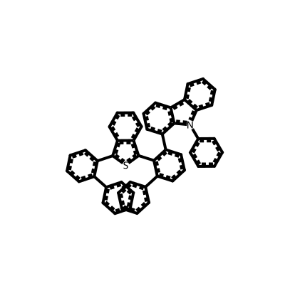 c1ccc(-c2ccccc2-c2sc(-c3c(-c4ccccc4)cccc3-c3cccc4c5ccccc5n(-c5ccccc5)c34)c3ccccc23)cc1